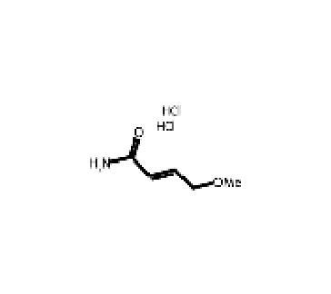 COCC=CC(N)=O.Cl.Cl